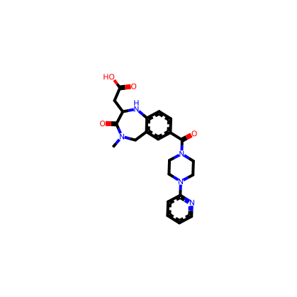 CN1Cc2cc(C(=O)N3CCN(c4ccccn4)CC3)ccc2NC(CC(=O)O)C1=O